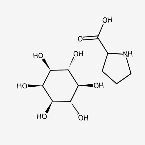 O=C(O)C1CCCN1.O[C@H]1[C@H](O)[C@@H](O)[C@H](O)[C@@H](O)[C@H]1O